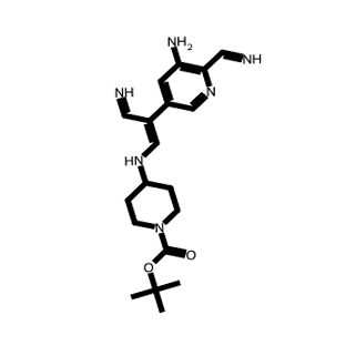 CC(C)(C)OC(=O)N1CCC(N/C=C(\C=N)c2cnc(C=N)c(N)c2)CC1